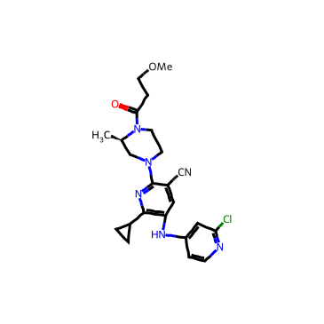 COCCC(=O)N1CCN(c2nc(C3CC3)c(Nc3ccnc(Cl)c3)cc2C#N)C[C@H]1C